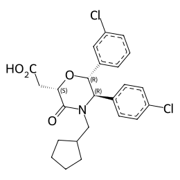 O=C(O)C[C@@H]1O[C@H](c2cccc(Cl)c2)[C@@H](c2ccc(Cl)cc2)N(CC2CCCC2)C1=O